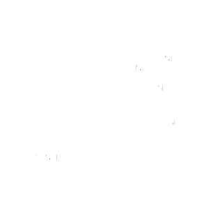 CCCOc1nc(N)nc2ccc(-c3ccc(NC(C)=O)cc3)cc12